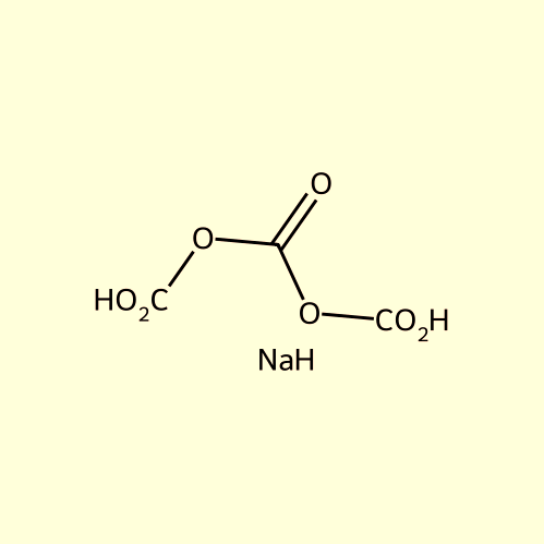 O=C(O)OC(=O)OC(=O)O.[NaH]